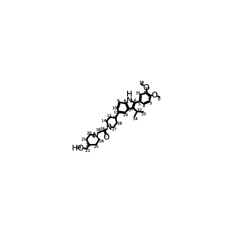 COc1ccc(-c2[nH]c3ccc(C4CCN(C(=O)CN5CCC(CO)CC5)CC4)cc3c2C(C)C)cc1OC